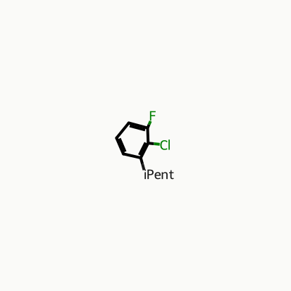 CCCC(C)c1cccc(F)c1Cl